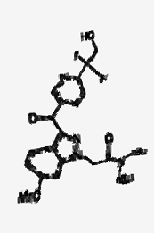 CCCCN(CCCC)C(=O)Cn1nc(C(=O)c2ccc(C(F)(F)CO)nc2)c2ccc(OC)cc21